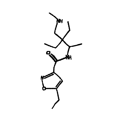 CCc1cc(C(=O)NC(C)C(CC)(CC)CNC)no1